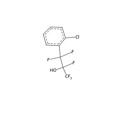 OC(F)(C(F)(F)F)C(F)(F)c1ccccc1Cl